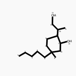 CCCCCC1(C)CCC(C(C)CO)C(O)C1